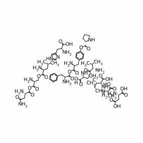 CC(C)C[C@H](N)C(=O)OC[C@H](N)C(=O)OC(=O)[C@@H](N)CC(N)=O.CC(C)[C@H](N)C(=O)O[C@H](C)[C@H](N)C(=O)O.CC[C@H](C)[C@H](N)C(=O)O.C[C@H](N)C(=O)O.N[C@@H](CC(=O)O)C(=O)O.N[C@@H](Cc1c[nH]cn1)C(=O)O.N[C@@H](Cc1ccccc1)C(=O)OC(=O)[C@@H](N)Cc1ccc(OC(=O)[C@@H]2CCCN2)cc1